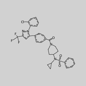 O=C(c1ccc(-c2cc(C(F)(F)F)nn2-c2ccccc2Cl)cc1)N1CCC(N(C2CC2)S(=O)(=O)c2ccccc2)CC1